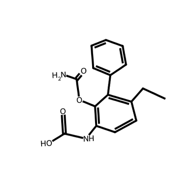 CCc1ccc(NC(=O)O)c(OC(N)=O)c1-c1ccccc1